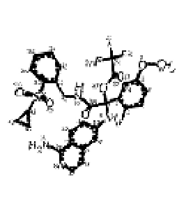 COc1ccc(F)c(C(Nc2ccc3c(N)nccc3c2)(OC(=O)C(F)(F)F)C(=O)NCc2ccccc2S(=O)(=O)C2CC2)c1